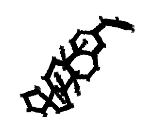 C[C@]12CCC(N=[N+]=[N-])CC1CC[C@@H]1[C@@H]2CC[C@@]2(C)[C@H]1CCC21OCCO1